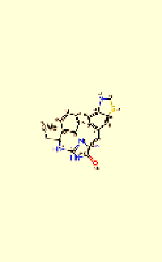 COCC(NC1=N/C(=C\c2ccc3ncsc3c2)C(=O)N1)c1ccccc1